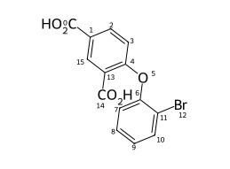 O=C(O)c1ccc(Oc2ccccc2Br)c(C(=O)O)c1